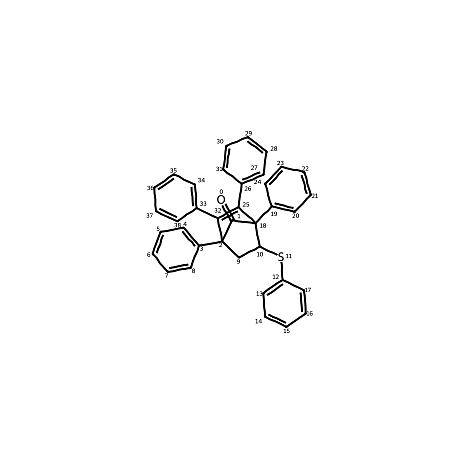 O=C1C2(c3ccccc3)CC(Sc3ccccc3)C1(c1ccccc1)C(c1ccccc1)=C2c1ccccc1